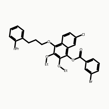 CCCc1ccccc1CCCOc1c(OCC)c(OCC)c(OC(=O)c2cccc(Br)c2)c2cc(Cl)ccc12